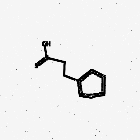 OS(=S)CCc1ccccc1